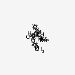 COc1ccc(COCc2cc([C@@H](CCc3cn(C4CCC4)nn3)C(C)(C)C(=O)OCc3ccccc3)ccc2Cl)cc1